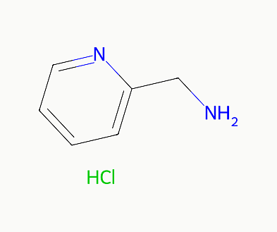 Cl.NCc1ccccn1